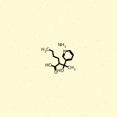 CCCCC(C(=O)O)C(C)(O)c1cccnc1.N